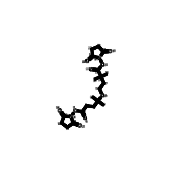 CC(C)(CCC(=O)ON1C(=O)CCC1=O)OCCC(C)(C)C(=O)ON1C(=O)CCC1=O